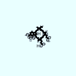 C=CC1=C(C)c2cc3[nH]c(cc4nc(cc5[nH]c(cc1n2)c(C)c5CCC(=O)OC)C(CCC(=O)O)=C4C)[C@]1(C)C3=CC=C(C(=O)OC)[C@@H]1C(=O)OC